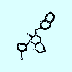 O=C1N(Cc2ccc3ccccc3n2)CC2=C(NCC=C2)N1c1cccc(Cl)c1